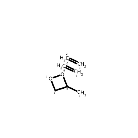 C=C.C=C.CC1COO1